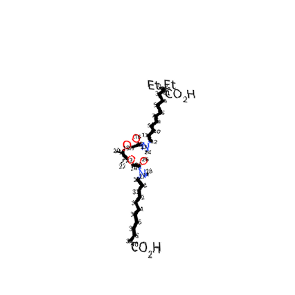 CCC(CC)(CCCCCCCCCCN(C)C(=O)CO[C@H](C)[C@@H](C)OCC(=O)N(C)CCCCCCCCCCCC(=O)O)C(=O)O